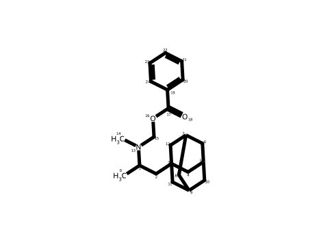 CC(CC12CC3CC(CC(C3)C1)C2)N(C)COC(=O)c1ccccc1